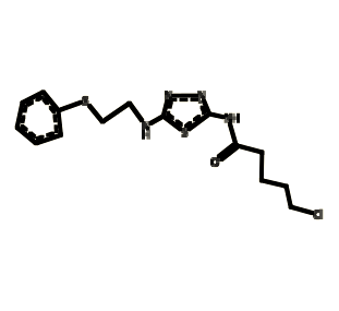 O=C(CCCCCl)Nc1nnc(NCCSc2ccccc2)s1